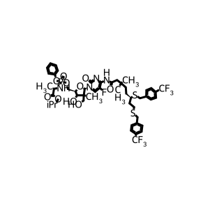 CC(C)OC(=O)[C@H](C)NP(=O)(OC[C@H]1O[C@@H](n2cc(F)c(NC(=O)CC(C)(C)CC[C@H](CCSCc3ccc(C(F)(F)F)cc3)SCc3ccc(C(F)(F)F)cc3)nc2=O)C(C)(CO)C1O)Oc1ccccc1